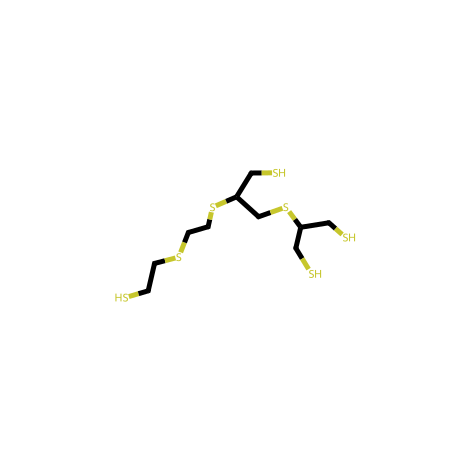 SCCSCCSC(CS)CSC(CS)CS